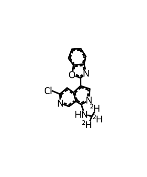 [2H]C([2H])([2H])Nc1ncc(-c2nc3ccccc3o2)c2cc(Cl)ncc12